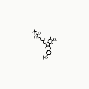 COc1nc2c(Cc3ccc(SN(C)C)cc3)c(C)n(C/C(F)=C/CNC(=O)OC(C)(C)C)c2cc1C